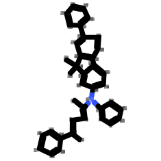 C/C(=C\C=C(/C)N(c1ccccc1)c1ccc2c(c1)C(C)(C)c1cc(-c3ccccc3)ccc1-2)c1ccccc1